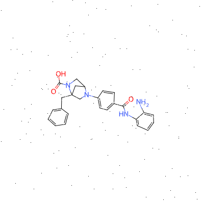 Nc1ccccc1NC(=O)c1ccc(N2CC3(Cc4ccccc4)CC2CN3C(=O)O)cc1